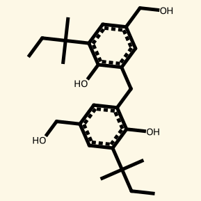 CCC(C)(C)c1cc(CO)cc(Cc2cc(CO)cc(C(C)(C)CC)c2O)c1O